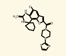 C=C1Nc2c(Cl)cc3cc(C(=O)N4CCN(c5nccs5)CC4)oc3c2C2(CCCCC2)N1